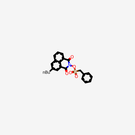 CCCCc1cc2c3c(cccc3c1)C(=O)N(OS(=O)(=O)Cc1ccccc1)C2=O